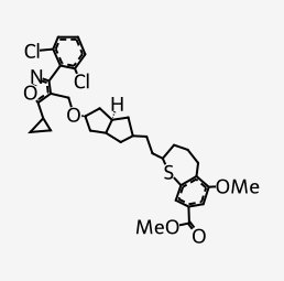 COC(=O)c1cc(OC)c2c(c1)SC(CCC1CC3C[C@H](OCc4c(-c5c(Cl)cccc5Cl)noc4C4CC4)C[C@H]3C1)CCC2